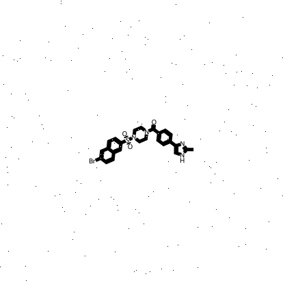 Cc1nc(-c2ccc(C(=O)N3CCN(S(=O)(=O)c4ccc5cc(Br)ccc5c4)CC3)cc2)c[nH]1